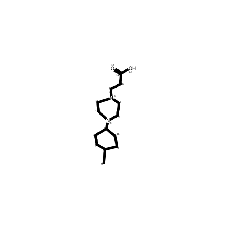 CC1CCC(N2CCN(CCC(=O)O)CC2)CC1